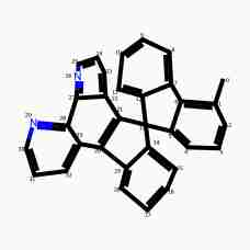 Cc1cccc2c1-c1ccccc1C21c2ccccc2-c2c1c1cccnc1c1ncccc21